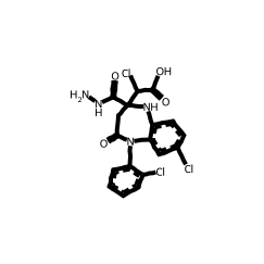 NNC(=O)C1(C(Cl)C(=O)O)CC(=O)N(c2ccccc2Cl)c2cc(Cl)ccc2N1